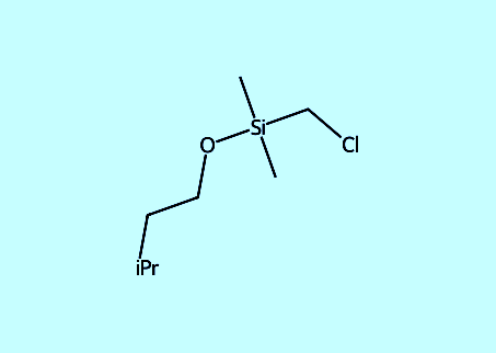 CC(C)CCO[Si](C)(C)CCl